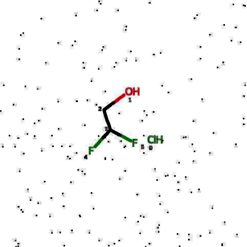 Cl.OCC(F)F